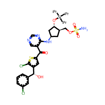 CC(C)[Si](O[C@H]1C[C@H](Nc2ncncc2C(=O)c2cc([C@H](O)c3cccc(Cl)c3)c(Cl)s2)C[C@@H]1COS(N)(=O)=O)(C(C)C)C(C)C